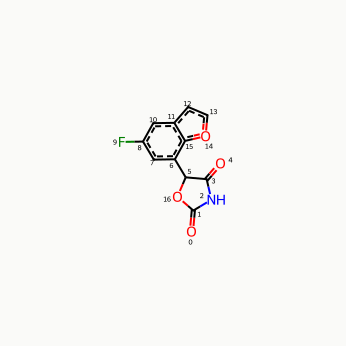 O=C1NC(=O)C(c2cc(F)cc3ccoc23)O1